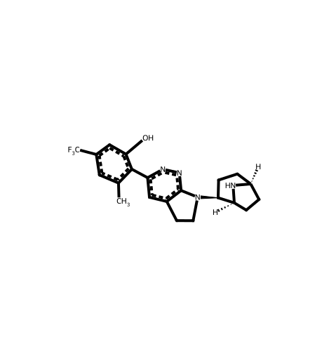 Cc1cc(C(F)(F)F)cc(O)c1-c1cc2c(nn1)N([C@H]1CC[C@H]3CC[C@@H]1N3)CC2